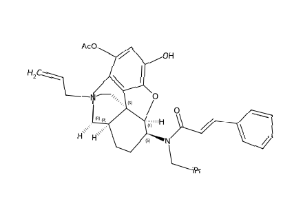 C=CCN1CC[C@]23c4c5c(OC(C)=O)cc(O)c4O[C@H]2[C@@H](N(CC(C)C)C(=O)C=Cc2ccccc2)CC[C@H]3[C@H]1C5